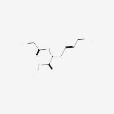 CC/C=C/C[C@H](NC(=O)CO)C(=O)NC